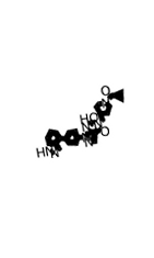 O=C(C1CC1)N1CCC(O)(Cn2cnc3c(cnn3-c3ccc(-c4cccc5[nH]ncc45)cc3)c2=O)CC1